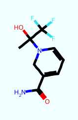 CC(O)(N1C=CC=C(C(N)=O)C1)C(F)(F)F